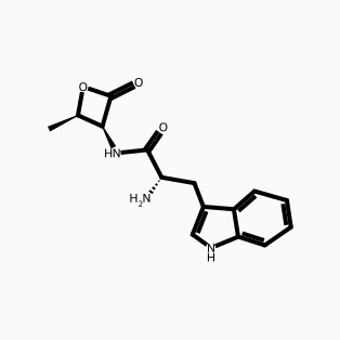 C[C@H]1OC(=O)[C@H]1NC(=O)[C@@H](N)Cc1c[nH]c2ccccc12